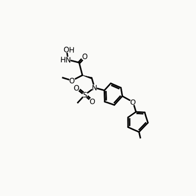 CO[C@H](CN(c1ccc(Oc2ccc(C)cc2)cc1)S(C)(=O)=O)C(=O)NO